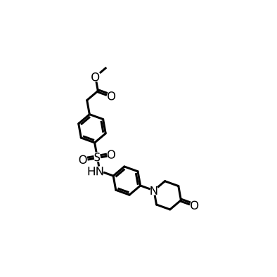 COC(=O)Cc1ccc(S(=O)(=O)Nc2ccc(N3CCC(=O)CC3)cc2)cc1